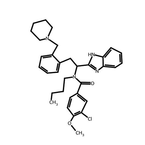 CCCCN(C(=O)c1ccc(OC)c(Cl)c1)C(Cc1ccccc1CN1CCCCC1)c1nc2ccccc2[nH]1